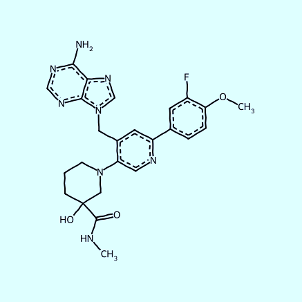 CNC(=O)C1(O)CCCN(c2cnc(-c3ccc(OC)c(F)c3)cc2Cn2cnc3c(N)ncnc32)C1